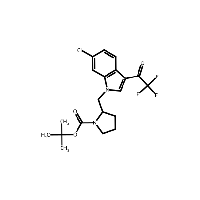 CC(C)(C)OC(=O)N1CCCC1Cn1cc(C(=O)C(F)(F)F)c2ccc(Cl)cc21